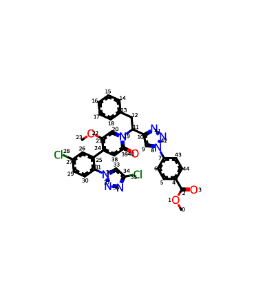 COC(=O)c1ccc(-n2cc(C(Cc3ccccc3)n3cc(OC)c(-c4cc(Cl)ccc4-n4cc(Cl)nn4)cc3=O)nn2)cc1